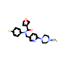 CN1CCN(c2ccc(CN(C(=O)c3ccoc3)c3ccc(F)cc3)cn2)CC1